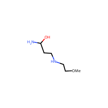 COCCNCCC(N)O